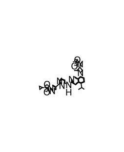 CC(C)c1ccc(N2CC(N(C)S(C)(=O)=O)C2C)c2cnc(Nc3ccnc(-c4cnn(S(=O)(=O)C5CC5)c4)n3)cc12